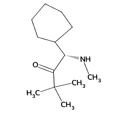 CN[C@H](C(=O)C(C)(C)C)C1CCCCC1